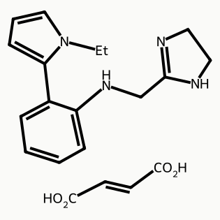 CCn1cccc1-c1ccccc1NCC1=NCCN1.O=C(O)C=CC(=O)O